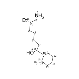 CC[C@H](CN)CCCCC(O)C1CCCC[C@@H]1C